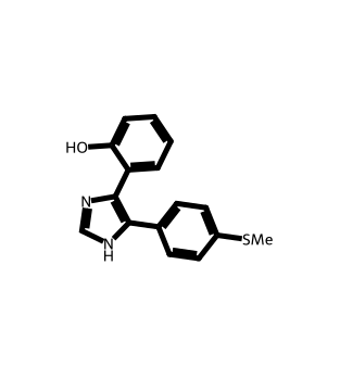 CSc1ccc(-c2[nH]cnc2-c2ccccc2O)cc1